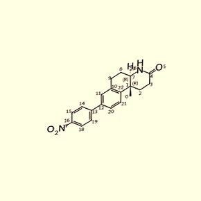 C[C@]12CCC(=O)N[C@@H]1CCc1cc(-c3ccc([N+](=O)[O-])cc3)ccc12